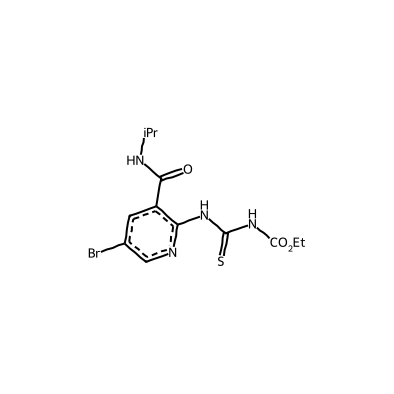 CCOC(=O)NC(=S)Nc1ncc(Br)cc1C(=O)NC(C)C